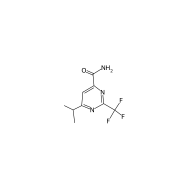 CC(C)c1cc(C(N)=O)nc(C(F)(F)F)n1